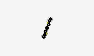 c1ccc2cc3c(cc2c1)sc1cc(-c2ccc(-c4ccc5c(c4)sc4cc6ccccc6cc45)cc2)ccc13